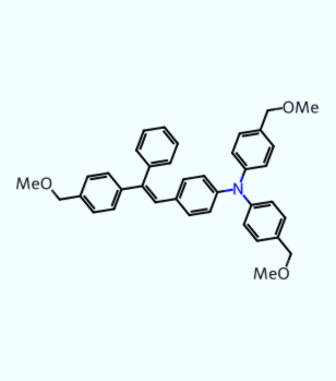 COCc1ccc(C(=Cc2ccc(N(c3ccc(COC)cc3)c3ccc(COC)cc3)cc2)c2ccccc2)cc1